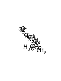 CC(=O)OC[C@H]1OC(OC2CC[C@@]3(C)C(=CCC4C3CC[C@@]3(C)C4CC[C@@H]3/C(C)=N/OCc3ccc([N+](=O)[O-])cc3)C2)C=C[C@@H]1OC(C)=O